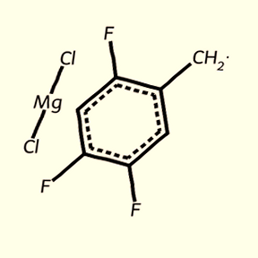 [CH2]c1cc(F)c(F)cc1F.[Cl][Mg][Cl]